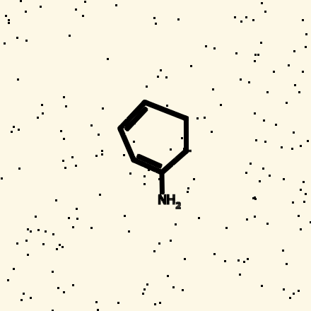 NC1=CC=CC[CH]1